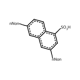 CCCCCCCCCc1ccc2c(S(=O)(=O)O)cc(CCCCCCCCC)cc2c1